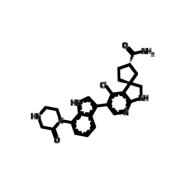 NC(=O)[C@H]1CC[C@]2(CNc3ncc(-c4c[nH]c5c(N6CCNCC6=O)cccc45)c(Cl)c32)C1